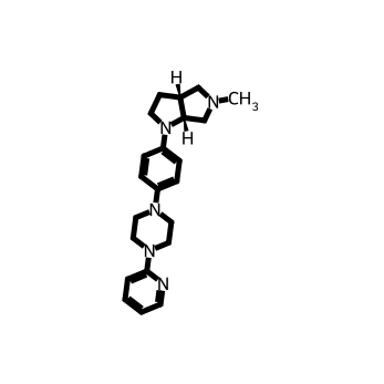 CN1C[C@H]2CCN(c3ccc(N4CCN(c5ccccn5)CC4)cc3)[C@H]2C1